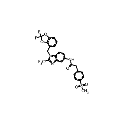 CS(=O)(=O)c1ccc(CC(=O)Nc2ccc3c(c2)nc(C(F)(F)F)n3Cc2cccc3c2OC(F)(F)O3)cc1